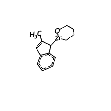 CC1=Cc2ccccc2[CH]1[Zr]1[CH2]CCC[O]1